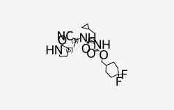 N#C[C@H](C[C@@H]1CCNC1=O)NC(=O)[C@H](CC1CC1)NC(=O)OCC1CCC(F)(F)CC1